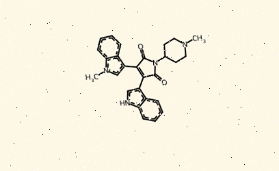 CN1CCC(N2C(=O)C(c3c[nH]c4ccccc34)=C(c3cn(C)c4ccccc34)C2=O)CC1